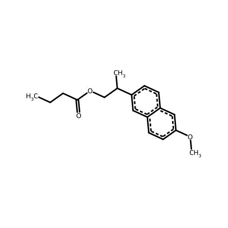 CCCC(=O)OCC(C)c1ccc2cc(OC)ccc2c1